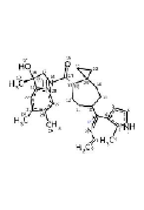 C=C/N=C(\c1cc[nH]c1C)C1CC[C@H](C(=O)NC[C@@](C)(O)c2cc(C)c(C)cn2)C2(CC1)CC2